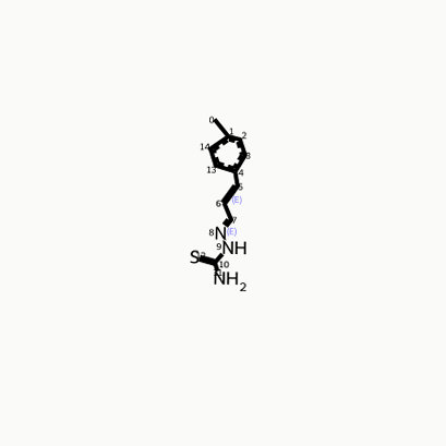 Cc1ccc(/C=C/C=N/NC(N)=S)cc1